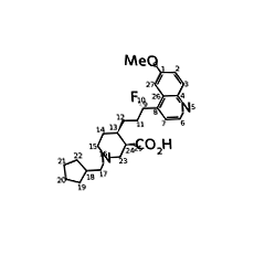 COc1ccc2nccc([C@@H](F)CC[C@@H]3CCN(CC4CCCC4)C[C@@H]3C(=O)O)c2c1